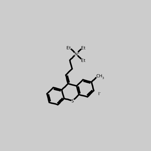 CC[N+](CC)(CC)CC/C=C1/c2ccccc2Sc2ccc(C)cc21.[I-]